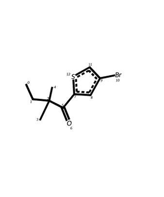 CCC(C)(C)C(=O)c1cc(Br)cs1